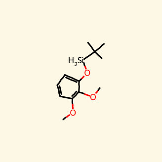 COc1cccc(O[SiH2]C(C)(C)C)c1OC